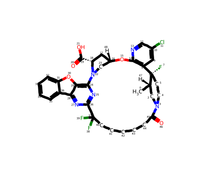 C[C@H]1CN2CC[C@]1(F)c1cc(Cl)cnc1O[C@H]1C[C@@H](C(=O)O)N(C1)c1nc(nc3c1oc1ccccc13)C(F)(F)CCCCCC2=O